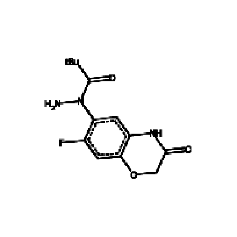 CC(C)(C)C(=O)N(N)c1cc2c(cc1F)OCC(=O)N2